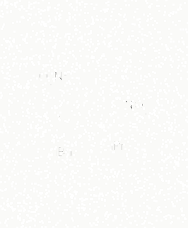 CCC(C)c1cc([N+](=O)[O-])cc([N+](=O)[O-])c1[C](C)C